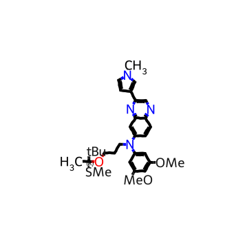 COc1cc(OC)cc(N(CCCO[C@](C)(SC)C(C)(C)C)c2ccc3ncc(-c4ccn(C)c4)nc3c2)c1